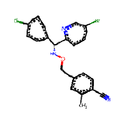 Cc1cc(CON[C@H](c2ccc(Cl)cc2)c2ccc(Br)cn2)ccc1C#N